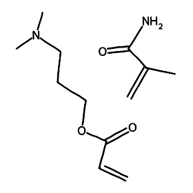 C=C(C)C(N)=O.C=CC(=O)OCCCN(C)C